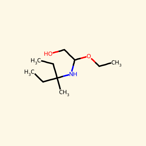 CCOC(CO)NC(C)(CC)CC